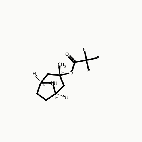 C[C@@]1(OC(=O)C(F)(F)F)C[C@H]2CC[C@@H](C1)N2